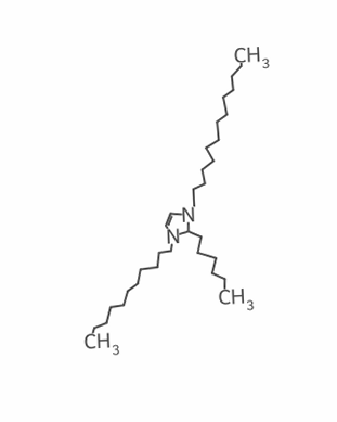 CCCCCCCCCCCCCCN1C=CN(CCCCCCCCCCC)C1CCCCCC